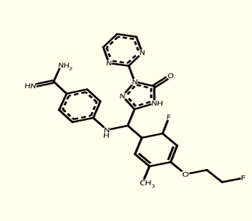 CC1=CC(C(Nc2ccc(C(=N)N)cc2)c2nn(-c3ncccn3)c(=O)[nH]2)C(F)C=C1OCCF